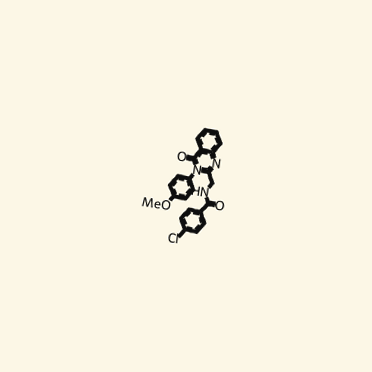 COc1ccc(-n2c(CNC(=O)c3ccc(Cl)cc3)nc3ccccc3c2=O)cc1